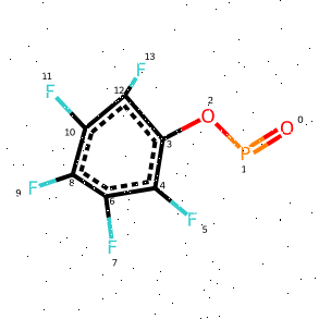 O=POc1c(F)c(F)c(F)c(F)c1F